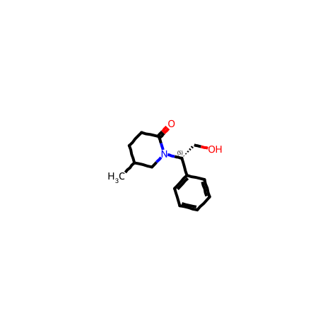 CC1CCC(=O)N([C@H](CO)c2ccccc2)C1